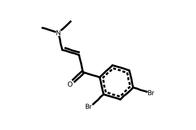 CN(C)/C=C/C(=O)c1ccc(Br)cc1Br